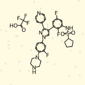 O=C(O)C(F)(F)F.O=S(=O)(Nc1cc(F)cc(-c2cn(-c3ccc(N4CCNCC4)c(F)c3)nc2-c2ccncc2)c1F)C1CCCC1